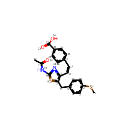 CSc1ccc(Cc2sc(NC(C)=O)nc2/C=C\c2ccc(C(=O)O)cc2)cc1